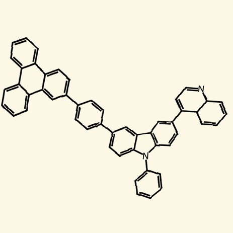 C1=CC2N=CC=C(c3ccc4c(c3)c3cc(-c5ccc(-c6ccc7c8ccccc8c8ccccc8c7c6)cc5)ccc3n4-c3ccccc3)C2C=C1